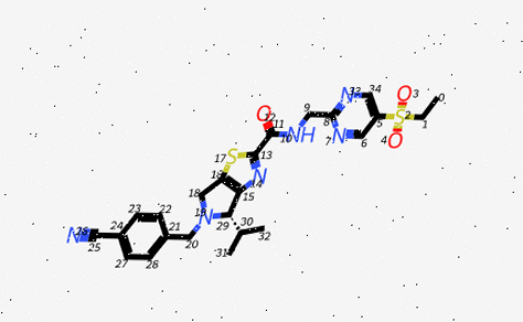 CCS(=O)(=O)c1cnc(CNC(=O)c2nc3c(s2)CN(Cc2ccc(C#N)cc2)[C@H]3C(C)C)nc1